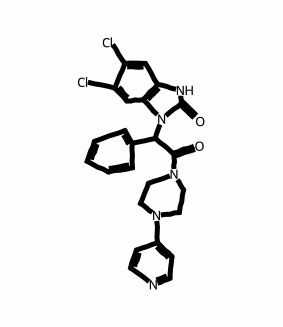 O=C(C(c1ccccc1)n1c(=O)[nH]c2cc(Cl)c(Cl)cc21)N1CCN(c2ccncc2)CC1